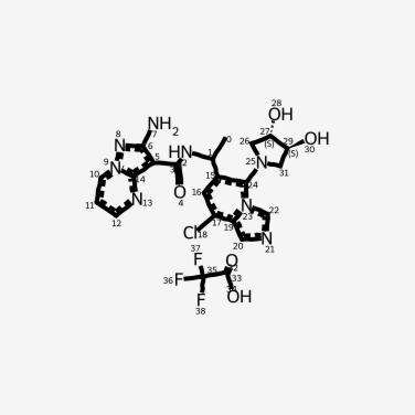 CC(NC(=O)c1c(N)nn2cccnc12)c1cc(Cl)c2cncn2c1N1C[C@H](O)[C@@H](O)C1.O=C(O)C(F)(F)F